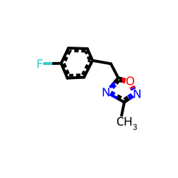 Cc1noc(Cc2ccc(F)cc2)n1